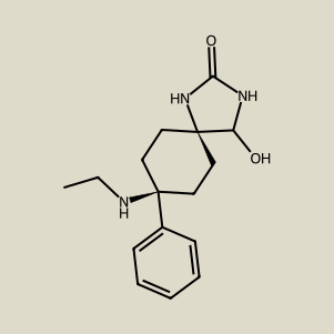 CCN[C@]1(c2ccccc2)CC[C@@]2(CC1)NC(=O)NC2O